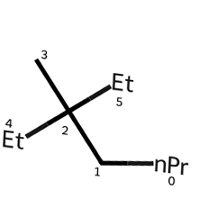 CCCCC(C)(CC)CC